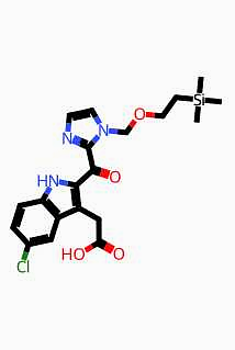 C[Si](C)(C)CCOCn1ccnc1C(=O)c1[nH]c2ccc(Cl)cc2c1CC(=O)O